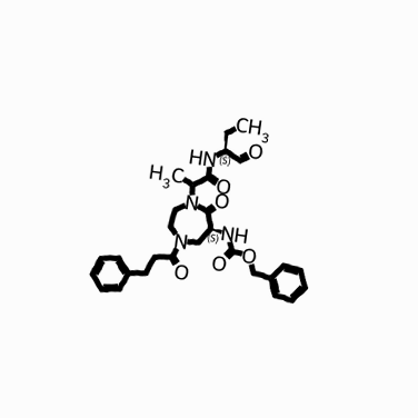 CC[C@@H](C=O)NC(=O)C(C)N1CCN(C(=O)CCc2ccccc2)C[C@H](NC(=O)OCc2ccccc2)C1=O